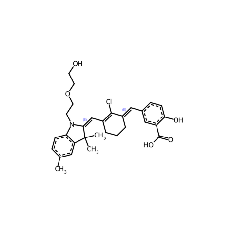 Cc1ccc2c(c1)C(C)(C)/C(=C\C1=C(Cl)C(=C/c3ccc(O)c(C(=O)O)c3)/CCC1)N2CCOCCO